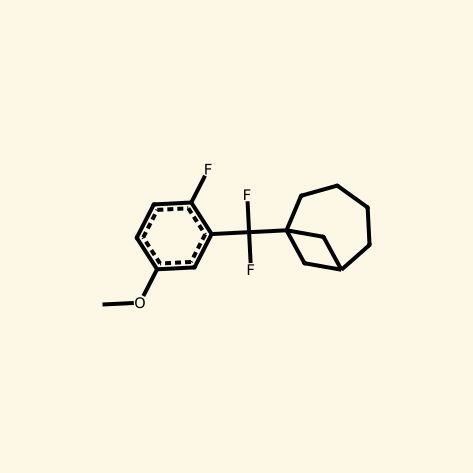 COc1ccc(F)c(C(F)(F)C23CCCCC(C2)C3)c1